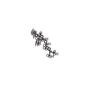 O=C(O)CCN(CCC(=O)O)c1ccc2cc(C(=O)NC3CCC(NC(=O)c4ccc5c(c4)C4(OC5=O)c5cc(F)c(OS(=O)(=O)C(F)(F)F)c(F)c5Oc5c4cc(F)c(OS(=O)(=O)C(F)(F)F)c5F)CC3)c(=O)oc2c1